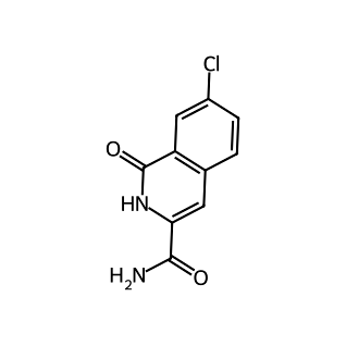 NC(=O)c1cc2ccc(Cl)cc2c(=O)[nH]1